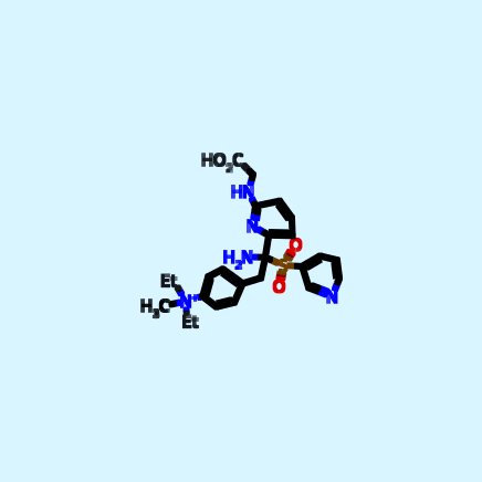 CC[N+](C)(CC)c1ccc(CC(N)(c2cccc(NCC(=O)O)n2)S(=O)(=O)c2cccnc2)cc1